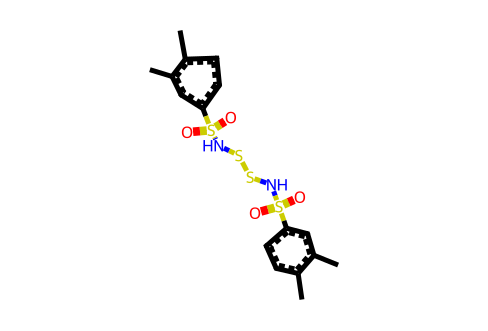 Cc1ccc(S(=O)(=O)NSSNS(=O)(=O)c2ccc(C)c(C)c2)cc1C